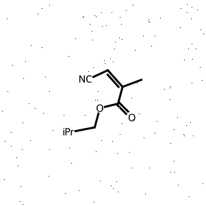 CC(=CC#N)C(=O)OCC(C)C